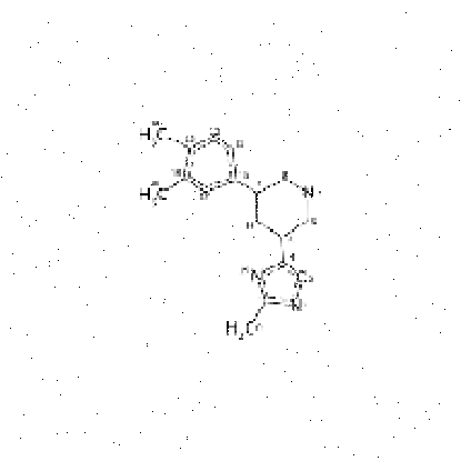 Cc1noc(C2C[N]CC(c3ccc(C)c(C)c3)C2)n1